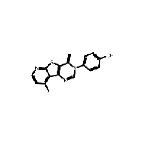 C=C1c2sc3nccc(C)c3c2N=CN1c1ccc(O)cc1